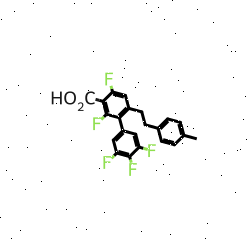 Cc1ccc(CCc2cc(F)c(C(=O)O)c(F)c2-c2cc(F)c(F)c(F)c2)cc1